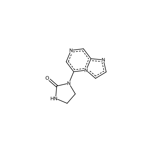 O=C1NCCN1c1cncc2nccn12